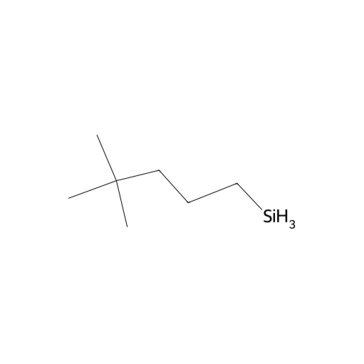 CC(C)(C)CCC[SiH3]